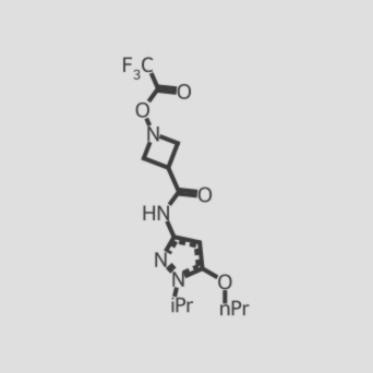 CCCOc1cc(NC(=O)C2CN(OC(=O)C(F)(F)F)C2)nn1C(C)C